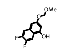 COCOc1cc(O)c2cc(F)c(F)cc2c1